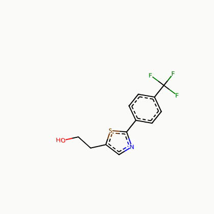 OCCc1cnc(-c2ccc(C(F)(F)F)cc2)s1